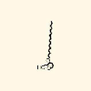 CCCCCCCCCCCCCCCCOC1CCCOC1CO